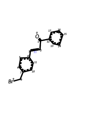 O=C(/C=C/c1ccc(CBr)cc1)c1ccccc1